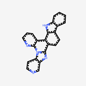 c1ccc2c(c1)[nH]c1c2ccc2c1c1cccnc1n1c3ccncc3nc21